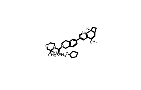 CC1=CC2CC[C@@H]2c2ncc(-c3cc4c(c([C@@H]5CCCC5C)c3)CN(C(=O)N3CCOCC3(C)C)CC4)cc21